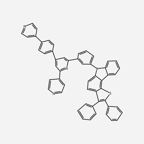 c1ccc(-c2sc3c(ccc4c3c3ccccc3n4-c3cccc(-c4cc(-c5ccc(-c6ccncc6)cc5)cc(-c5ccncc5)n4)c3)c2-c2ccccc2)cc1